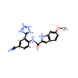 COc1ccc2cc(C(=O)Nc3ccc(C#N)cc3-c3nnn[nH]3)[nH]c2c1